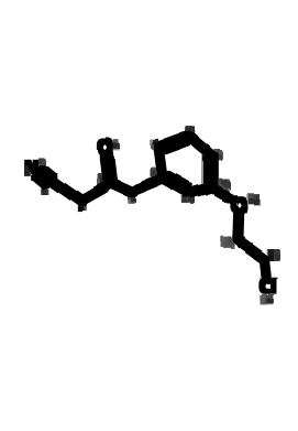 N#CCC(=O)Cc1cccc(OCCCl)c1